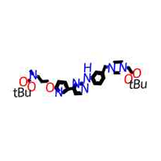 CN(CCCOc1ccc(-c2ccnc(Nc3cccc(CN4CCN(CC(=O)OC(C)(C)C)CC4)c3)n2)cn1)C(=O)OC(C)(C)C